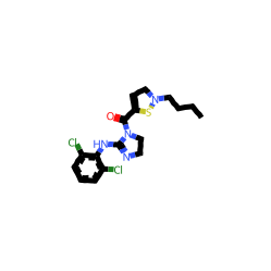 CCCCN1CC=C(C(=O)N2CCN=C2Nc2c(Cl)cccc2Cl)S1